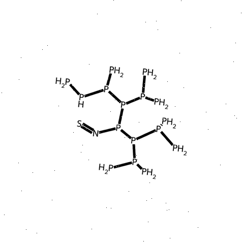 PPP(P)P(P(P)P)P(N=S)P(P(P)P)P(P)P